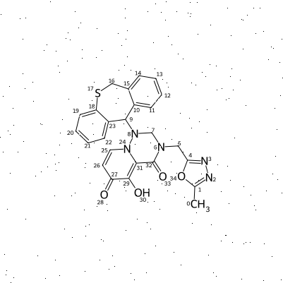 Cc1nnc(CN2CN(C3c4ccccc4CSc4ccccc43)n3ccc(=O)c(O)c3C2=O)o1